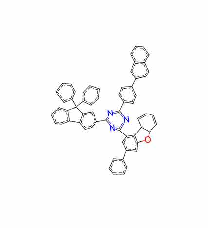 C1=CC2Oc3cc(-c4ccccc4)cc(-c4nc(-c5ccc(-c6ccc7ccccc7c6)cc5)nc(-c5ccc6c(c5)C(c5ccccc5)(c5ccccc5)c5ccccc5-6)n4)c3C2C=C1